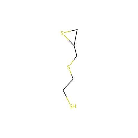 SCCSCC1CS1